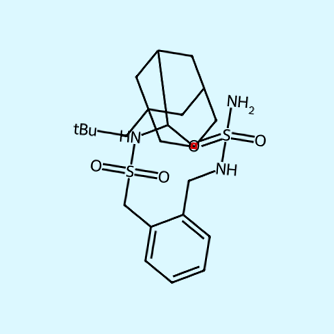 CC(C)(C)CC12CC3CC(C1)C(NS(=O)(=O)Cc1ccccc1CNS(N)(=O)=O)C(C3)C2